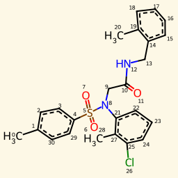 Cc1ccc(S(=O)(=O)N(CC(=O)NCc2ccccc2C)c2cccc(Cl)c2C)cc1